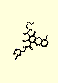 C=C/C=C(\C=C/N)CNC(=O)c1c(O)c(C(=O)NCC(=O)O)c(=O)n(Cc2ccccc2Cl)c1O